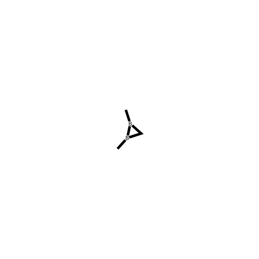 CB1CB1C